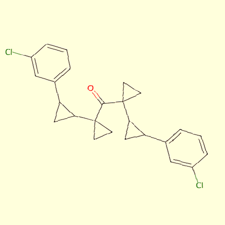 O=C(C1(C2CC2c2cccc(Cl)c2)CC1)C1(C2CC2c2cccc(Cl)c2)CC1